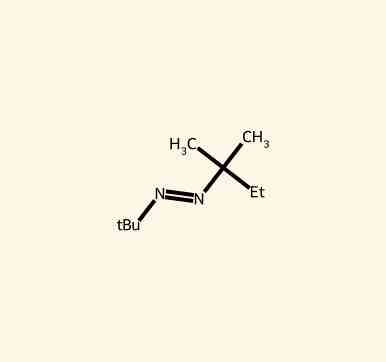 CCC(C)(C)N=NC(C)(C)C